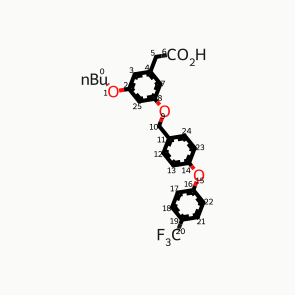 CCCCOc1cc(CC(=O)O)cc(OCc2ccc(Oc3ccc(C(F)(F)F)cc3)cc2)c1